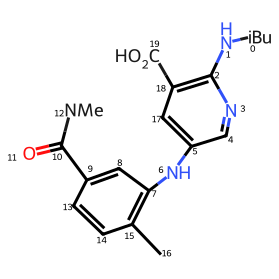 CCC(C)Nc1ncc(Nc2cc(C(=O)NC)ccc2C)cc1C(=O)O